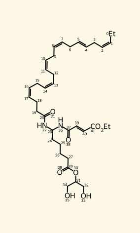 CC/C=C\CC=CC/C=C\C/C=C\C/C=C\C/C=C\CCC(=O)N[C@H](CCCCC(=O)OC(CO)CO)NC(=O)/C=C/C(=O)OCC